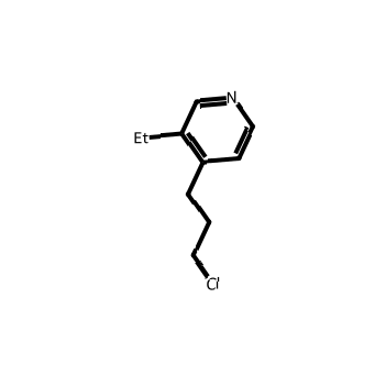 CCc1cnccc1CCCCl